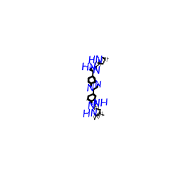 C[C@H]1CN[C@H](c2nc(-c3ccc4nc(-c5ccc6nc([C@@H]7C[C@@H](C)[C@@H](C)N7)[nH]c6c5)cnc4c3)c[nH]2)C1